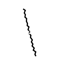 CCCCCCCCCCCSSCCCCCCCCCCC